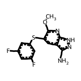 COc1nc2[nH]nc(N)c2cc1Sc1cc(F)cc(F)c1